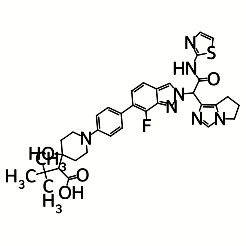 CC(C)(C)C(C(=O)O)C1(O)CCN(c2ccc(-c3ccc4cn(C(C(=O)Nc5nccs5)c5ncn6c5CCC6)nc4c3F)cc2)CC1